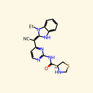 CCN1C(=C(C#N)c2ccnc(NC(=O)[C@H]3CSCN3)n2)Nc2ccccc21